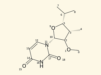 COC1[C@@H](C)[C@@H](C(C)C)O[C@H]1n1ccc(=O)[nH]c1=O